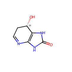 O=c1[nH]c2c([nH]1)[C@@H](O)CC=N2